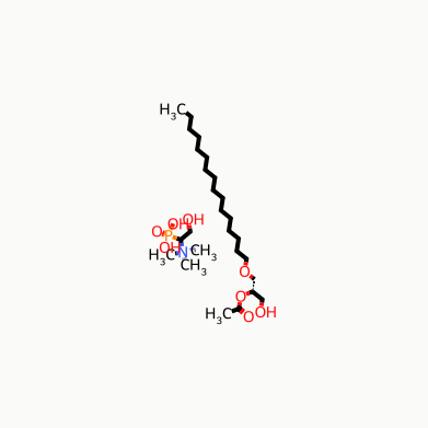 CCCCCCCCCCCCCCCCOC[C@H](CO)OC(C)=O.C[N+](C)(C)C(CO)P(=O)(O)O